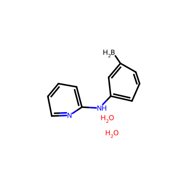 Bc1cccc(Nc2ccccn2)c1.O.O